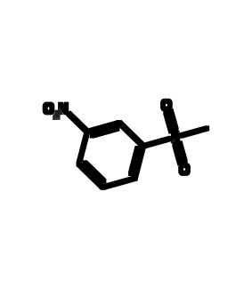 CS(=O)(=O)c1cccc([N+](=O)[O-])c1